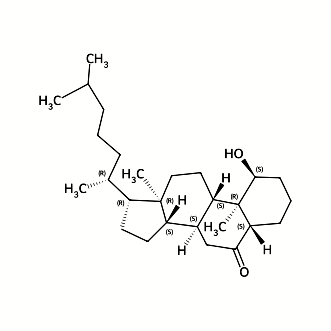 CC(C)CCC[C@@H](C)[C@H]1CC[C@H]2[C@@H]3CC(=O)[C@H]4CCC[C@H](O)[C@]4(C)[C@H]3CC[C@]12C